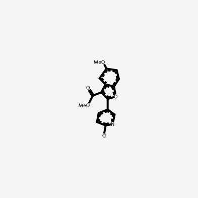 COC(=O)c1c(-c2ccc(Cl)nc2)oc2ccc(OC)cc12